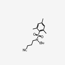 Cc1cc(C)c(S(=O)(=O)N(CCCC#N)C(C)(C)C)c(C)c1